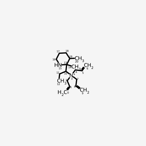 C=CC[N+](CC=C)(CC=C)C(CC)C1(C)NCCCC1C